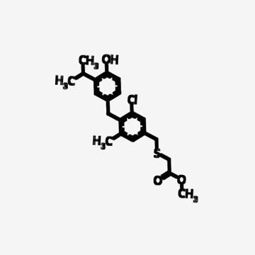 COC(=O)CSCc1cc(C)c(Cc2ccc(O)c(C(C)C)c2)c(Cl)c1